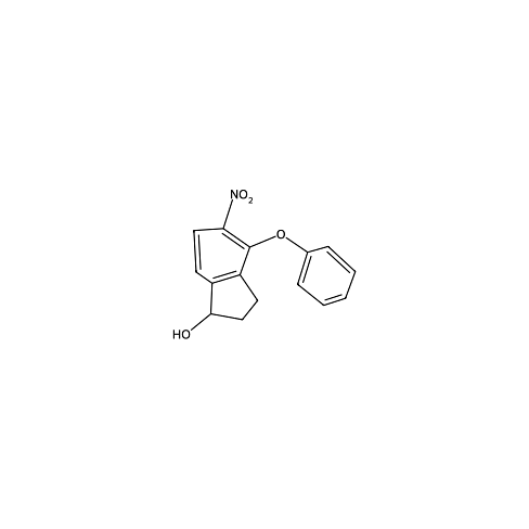 O=[N+]([O-])c1ccc2c(c1Oc1ccccc1)CCC2O